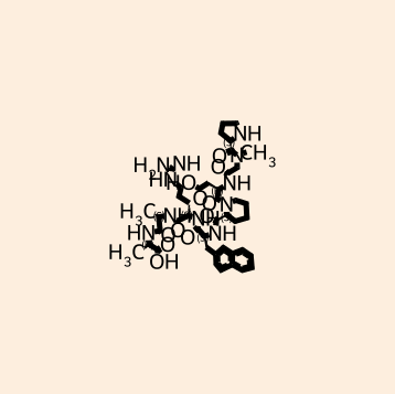 C[C@H](NC(=O)[C@H](CCCNC(=N)N)NC(=O)[C@H](Cc1ccc2ccccc2c1)NC(=O)[C@@H]1CCCCN1C(=O)[C@@H](CC(=O)O)NC(=O)CN(C)C(=O)[C@@H]1CCCN1)C(=O)N[C@H](C)C(=O)O